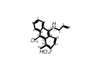 C=CCNc1c2ccccc2c(Cl)c2c(C)cccc12.Cl